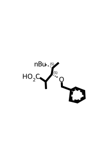 CCCC[C@H](C)[C@H](OCc1ccccc1)C(C)C(=O)O